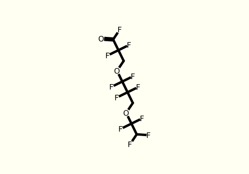 O=C(F)C(F)(F)COC(F)(F)C(F)(F)COC(F)(F)C(F)F